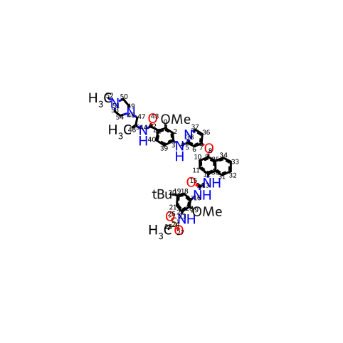 COc1cc(Nc2cc(Oc3ccc(NC(=O)Nc4cc(C(C)(C)C)cc(NS(C)(=O)=O)c4OC)c4ccccc34)ccn2)ccc1C(=O)NC(C)CN1CCN(C)CC1